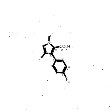 Cn1cc(I)c(-c2ccc(F)cc2)c1C(=O)O